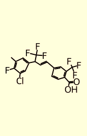 Cc1cc(C(/C=C/c2ccc(C(=O)O)c(C(F)(F)F)c2)C(F)(F)F)cc(Cl)c1F